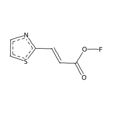 O=C(C=Cc1nccs1)OF